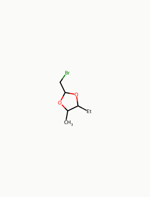 CCC1OC(CBr)OC1C